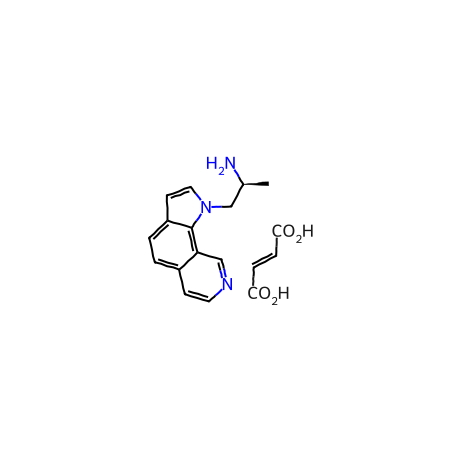 C[C@H](N)Cn1ccc2ccc3ccncc3c21.O=C(O)/C=C/C(=O)O